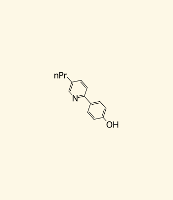 CCCc1ccc(-c2ccc(O)cc2)nc1